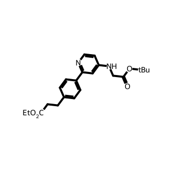 CCOC(=O)CCc1ccc(-c2cc(NCC(=O)OC(C)(C)C)ccn2)cc1